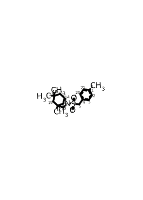 Cc1ccc(CS(=O)(=O)N2CC3(C)CC2CC(C)(C)C3)cc1